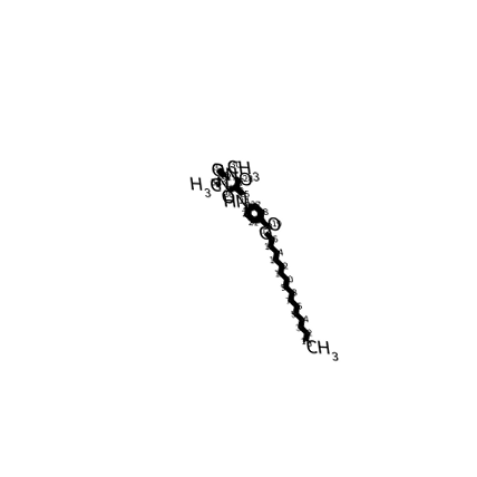 CCCCCCCCCCCCCCCCCOC(=O)c1ccc(NC=C2C(=O)N(C)C(=O)N(C)C2=O)cc1